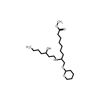 CCCCC(O)CCNC(CCCCCCC(=O)OC)COC1CCCCO1